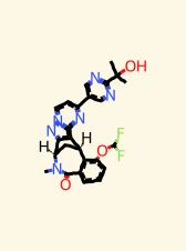 CN1C(=O)c2cccc(OC(F)F)c2[C@H]2C[C@@H]1c1nn3ccc(-c4cnc(C(C)(C)O)nc4)nc3c12